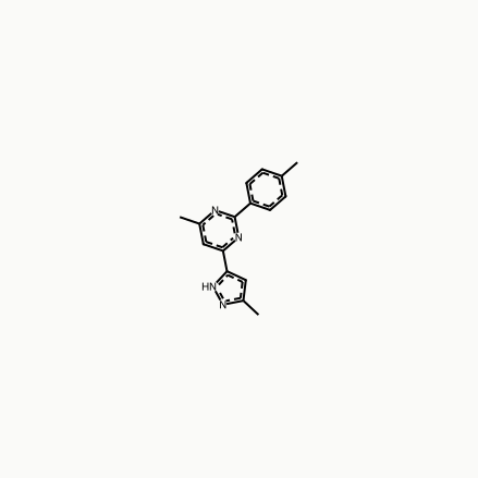 Cc1ccc(-c2nc(C)cc(-c3cc(C)n[nH]3)n2)cc1